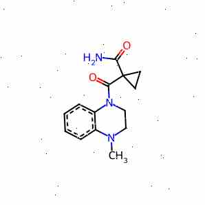 CN1CCN(C(=O)C2(C(N)=O)CC2)c2ccccc21